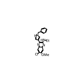 CCNc1nc2cc(OC)c(Cl)cc2nc1-c1cnn(Cc2ccccc2)c1